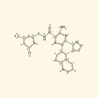 Nc1nc(-c2ncco2)c(-c2ccc3ncccc3c2)nc1C(=O)NCc1cc(C(F)(F)F)cc(Cl)n1